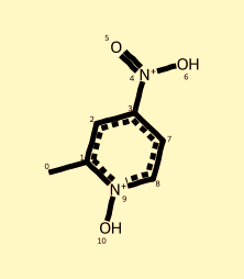 Cc1cc([N+](=O)O)cc[n+]1O